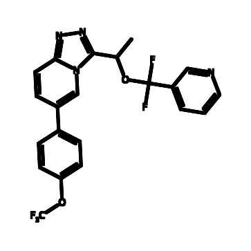 CC(OC(F)(F)c1cccnc1)c1nnc2ccc(-c3ccc(OC(F)(F)F)cc3)cn12